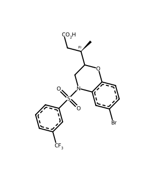 C[C@H](CC(=O)O)C1CN(S(=O)(=O)c2cccc(C(F)(F)F)c2)c2cc(Br)ccc2O1